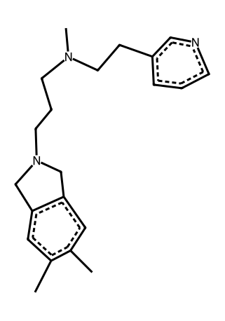 Cc1cc2c(cc1C)CN(CCCN(C)CCc1cccnc1)C2